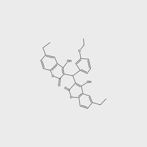 CCOc1cccc(C(c2c(O)c3cc(CC)ccc3oc2=O)c2c(O)c3cc(CC)ccc3oc2=O)c1